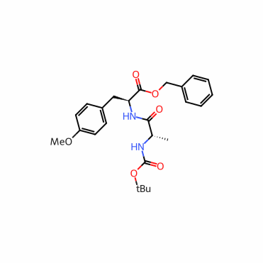 COc1ccc(C[C@H](NC(=O)[C@H](C)NC(=O)OC(C)(C)C)C(=O)OCc2ccccc2)cc1